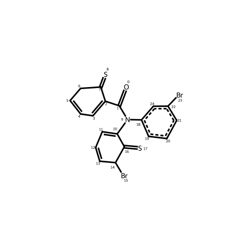 O=C(C1=CC=CCC1=S)N(C1=CC=CC(Br)C1=S)c1cccc(Br)c1